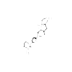 [2H]N1CCNCC1CC1CCN(c2ccc(N3CCC(=O)NC3=O)cn2)CC1